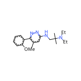 CCN(CC)C(C)(C)CNc1cc(C)c(-c2ccccc2OC)nn1